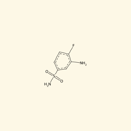 Nc1cc(S(N)(=O)=O)ccc1F